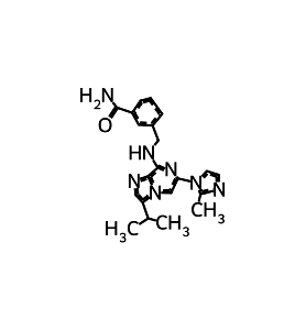 Cc1nccn1-c1cn2c(C(C)C)cnc2c(NCc2cccc(C(N)=O)c2)n1